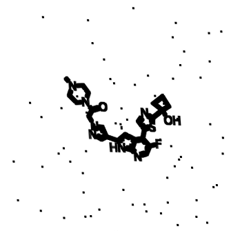 CN1CCN(C(=O)Cn2cc(-c3cc4c(-c5cnc(C6(O)CCC6)s5)c(F)cnc4[nH]3)cn2)CC1